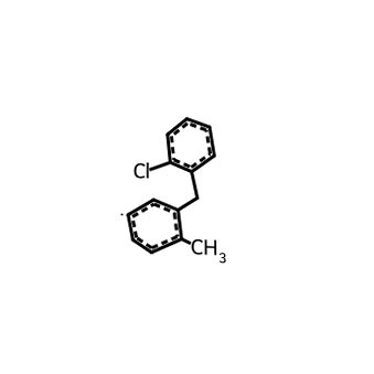 Cc1cc[c]cc1Cc1ccccc1Cl